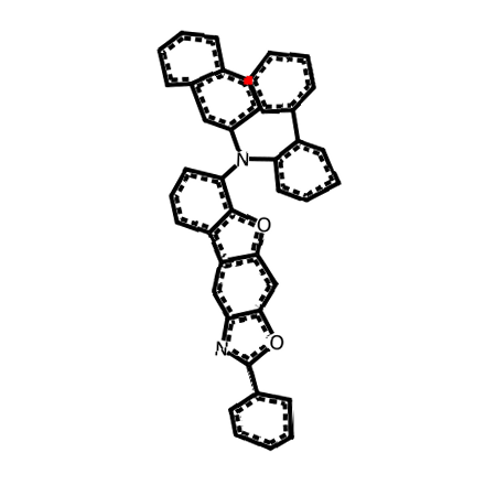 c1ccc(-c2nc3cc4c(cc3o2)oc2c(N(c3ccc5ccccc5c3)c3ccccc3-c3ccccc3)cccc24)cc1